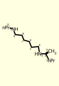 C=C(CCC)NCCCCCCNCCC